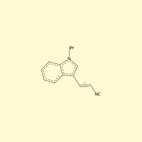 [C-]#[N+]/C=C/c1cn(C(C)C)c2ccccc12